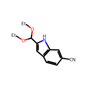 CCOC(OCC)c1cc2ccc(C#N)cc2[nH]1